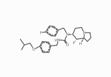 CC(C)COc1ccc(CNC(=O)N(Cc2ccc(F)cc2)[C@H]2CCN3CCC[C@@H]3[C@@H]2F)cc1